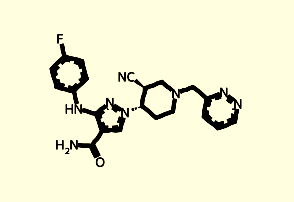 N#C[C@H]1CN(Cc2cccnn2)CC[C@@H]1n1cc(C(N)=O)c(Nc2ccc(F)cc2)n1